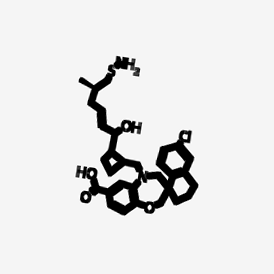 C[C@H](C/C=C/C(O)C1CCC1CN1CC2(CCCc3cc(Cl)ccc32)COc2ccc(C(=O)O)cc21)CSN